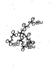 CC(C)(C)OC(=O)SCC(=O)OCC(COC(=O)CSC(=O)OC(C)(C)C)(COC(=O)CSC(=O)OC(C)(C)C)COC(=O)CSC(=O)OC(C)(C)C